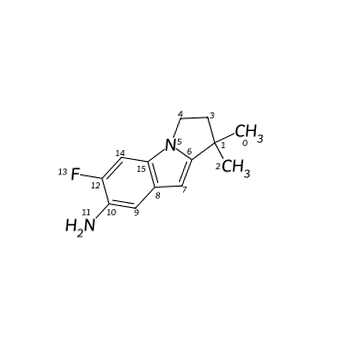 CC1(C)CCn2c1cc1cc(N)c(F)cc12